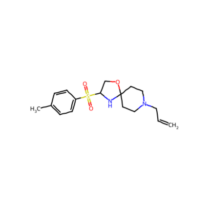 C=CCN1CCC2(CC1)NC(S(=O)(=O)c1ccc(C)cc1)CO2